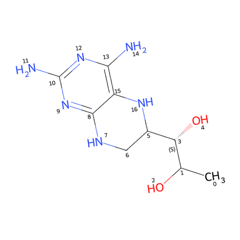 CC(O)[C@@H](O)C1CNc2nc(N)nc(N)c2N1